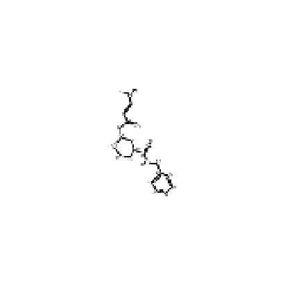 CN(C)C=CC(=O)CC1CN(C(=O)OCc2ccccc2)CCO1